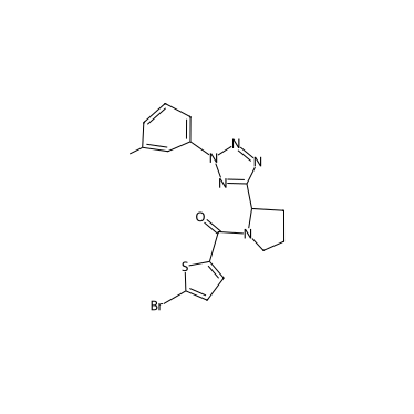 Cc1cccc(-n2nnc(C3CCCN3C(=O)c3ccc(Br)s3)n2)c1